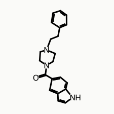 O=C(c1ccc2[nH]ccc2c1)N1CCN(CCc2ccccc2)CC1